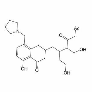 CC(=O)CC(=O)C(CO)C(CCO)CC1CC(=O)c2c(O)ccc(CN3CCCC3)c2C1